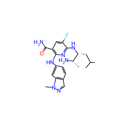 CC(C)C[C@@H](Nc1nc(Nc2ccc3cnn(C)c3c2)c(C(N)=O)cc1F)[C@H](C)N